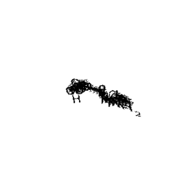 C[C@@H](Oc1cc(-c2cnn(C3CCN(C(=O)CCCCCCCOOc4cccc5c4C(=O)N(C4CCC(=O)NC4=O)C5=O)CC3)c2)cnc1N)c1c(Cl)ccc(F)c1Cl